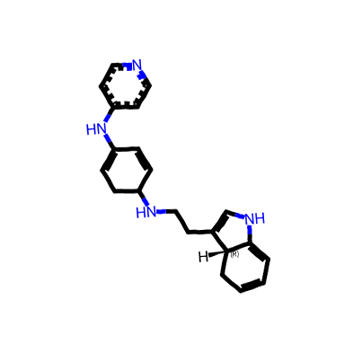 C1=CC[C@@H]2C(CCNC3C=CC(Nc4ccncc4)=CC3)=CNC2=C1